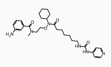 CN(CCON(C(=O)CCCCCCNC(=O)Nc1ccncc1)C1CCCCC1)C(=O)c1cccc(N)c1